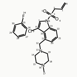 C=CCS(=O)(=O)n1cc(Cl)c2c(CN3CCN(C)CC3)cccc21.Fc1ccccc1